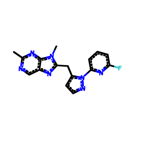 Cc1ncc2nc(Cc3ccnn3-c3cccc(F)n3)n(C)c2n1